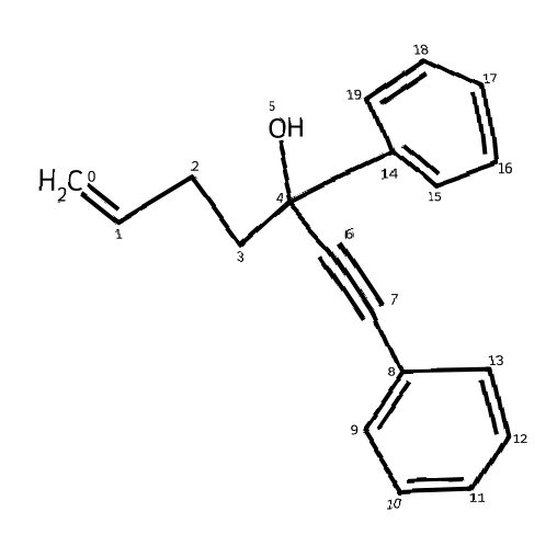 C=CCCC(O)(C#Cc1ccccc1)c1ccccc1